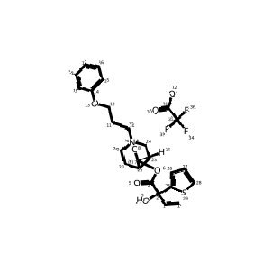 C=CC(O)(C(=O)O[C@H]1C[N+]2(CCCOc3ccccc3)CCC1CC2)c1cccs1.O=C([O-])C(F)(F)F